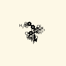 CC(C)(C[C@]1(c2ccc(-c3cccc(S(C)(=O)=O)c3)cc2)NC(=N)N([C@H](COC(=O)NC2(C(F)F)CC2)c2ccc(Cl)c(-c3ncnn3C(F)F)c2)C1=O)C(F)(F)F